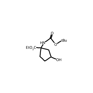 CCOC(=O)C1(NC(=O)OC(C)(C)C)CCC(O)C1